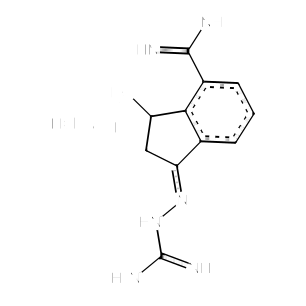 CC1CC(=NNC(=N)N)c2cccc(C(=N)N)c21.Cl.Cl